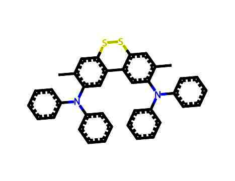 Cc1cc2c(cc1N(c1ccccc1)c1ccccc1)-c1cc(N(c3ccccc3)c3ccccc3)c(C)cc1SS2